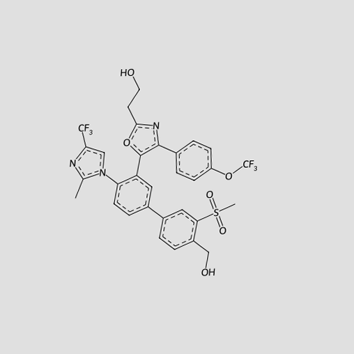 Cc1nc(C(F)(F)F)cn1-c1ccc(-c2ccc(CO)c(S(C)(=O)=O)c2)cc1-c1oc(CCO)nc1-c1ccc(OC(F)(F)F)cc1